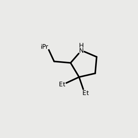 CCC1(CC)CCNC1CC(C)C